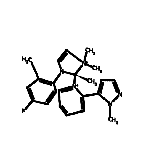 Cc1cc(F)ccc1N1C=C[N+](C)(C)[C@@]1(C)[n+]1ccccc1-c1ccnn1C